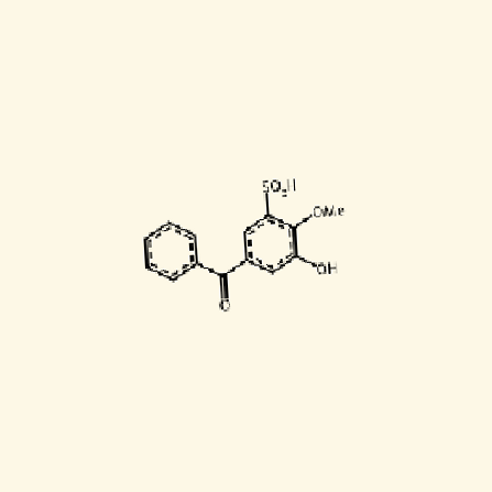 COc1c(O)cc(C(=O)c2ccccc2)cc1S(=O)(=O)O